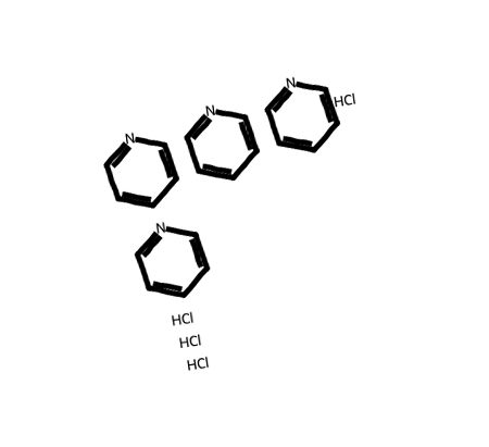 Cl.Cl.Cl.Cl.c1ccncc1.c1ccncc1.c1ccncc1.c1ccncc1